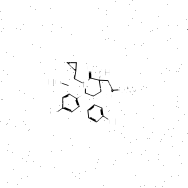 COC(=O)C[C@]1(C)C[C@H](c2cccc(Cl)c2)[C@@H](c2ccc(Cl)cc2)N([C@H](CO)C2CC2)C1=O